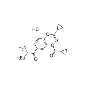 CC(C)(C)C(N)C(=O)c1ccc(OC(=O)C2CC2)c(OC(=O)C2CC2)c1.Cl